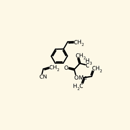 C=C(C)C(=O)OC.C=CC#N.C=CC=C.C=Cc1ccccc1